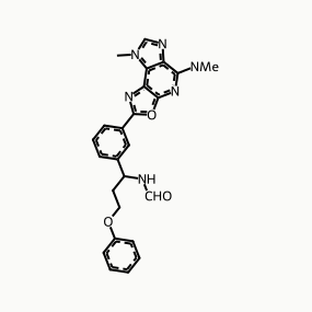 CNc1nc2oc(-c3cccc(C(CCOc4ccccc4)NC=O)c3)nc2c2c1ncn2C